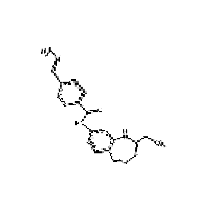 NN=Cc1ccc(C(=O)Nc2ccc3c(c2)NC(CC(=O)O)CCC3)cc1